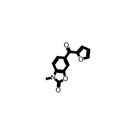 Cn1c(=O)oc2cc(C(=O)c3ccco3)ccc21